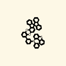 C1=CCC2C(=C1)C1(C3=C(c4ccccc41)C1Oc4cccc(-c5cccc(N(c6ccccc6)c6cccc7sc8ccccc8c67)c5)c4OC1C=C3)c1ccccc12